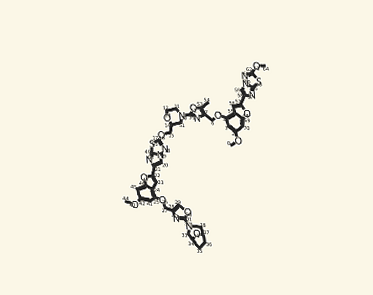 COc1cc(OCc2nc(N3CCOC(COc4nn5cc(-c6cc7c(OCc8coc(N9CC%10CCC(C9)O%10)n8)cc(OC)cc7o6)nc5s4)C3)oc2C)c2cc(-c3cn4nc(OC)sc4n3)oc2c1